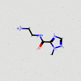 Cn1ncnc1C(=O)NCCN